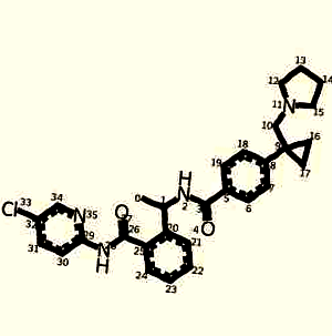 CC(NC(=O)c1ccc(C2(CN3CCCC3)CC2)cc1)c1ccccc1C(=O)Nc1ccc(Cl)cn1